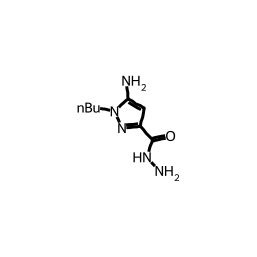 CCCCn1nc(C(=O)NN)cc1N